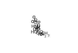 CC(=O)OC(CN)C1=C(C(=O)O)N2C(=O)[C@H](NC(=O)Cc3ccccc3C(=O)OC(c3ccccc3)c3ccccc3)[C@H]2SC1